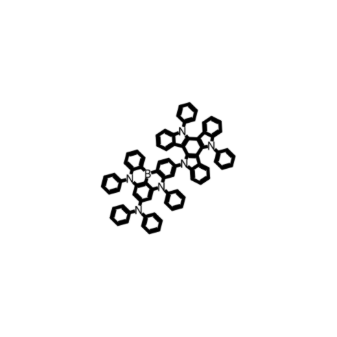 c1ccc(N(c2ccccc2)c2cc3c4c(c2)N(c2ccccc2)c2cc(-n5c6ccccc6c6c7c(c8ccccc8n7-c7ccccc7)c7c(c8ccccc8n7-c7ccccc7)c65)ccc2B4c2ccccc2N3c2ccccc2)cc1